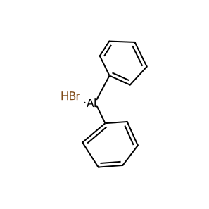 Br.c1cc[c]([Al][c]2ccccc2)cc1